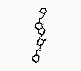 O=c1cc(OCc2ccccc2)ccn1-c1ccc2nc(CCN3CCCC3)ccc2c1